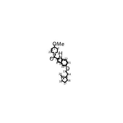 COC1CCN(C(=O)c2cc3cc(OCCC4CCCN4C)ccc3[nH]2)CC1